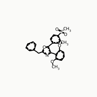 COc1cccc(OC)c1-c1nc(Cc2ccccc2)oc1-c1ccc(S(C)(=O)=O)cc1